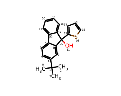 CC(C)(C)c1ccc2c(c1)C(O)(c1cccs1)c1ccccc1-2